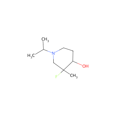 CC(C)N1CCC(O)C(C)(F)C1